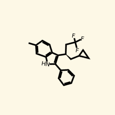 Cc1ccc2c([C@H](CC3CC3)CC(F)(F)F)c(-c3ccccc3)[nH]c2c1